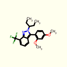 CCC(CC)n1nc2c(C(F)(F)F)cccc2c1-c1ccc(OC)cc1OC